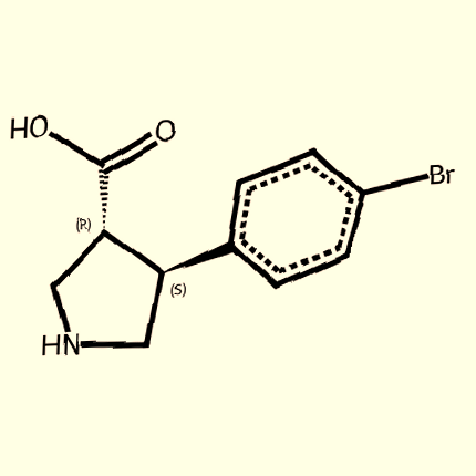 O=C(O)[C@H]1CNC[C@@H]1c1ccc(Br)cc1